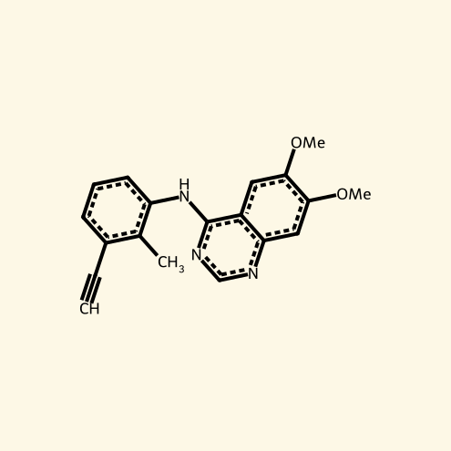 C#Cc1cccc(Nc2ncnc3cc(OC)c(OC)cc23)c1C